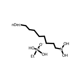 CCCCCCCCCCCCCCCCCCN(O)O.CC[N+]([O-])(O)O